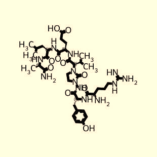 CC(C)C[C@@H](NC(=O)[C@@H](CCC(=O)O)NC(=O)[C@@H](C(C)C)N1CCN(NC(=O)[C@@H](Cc2ccc(O)cc2)NC(=O)[C@H](N)CCCNC(=N)N)C1=O)C(=O)N[C@H](C)C(N)=O